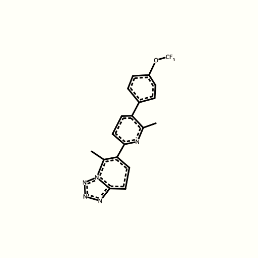 Cc1nc(-c2ccc3nnnn3c2C)ccc1-c1ccc(OC(F)(F)F)cc1